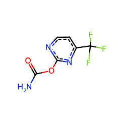 NC(=O)Oc1nccc(C(F)(F)F)n1